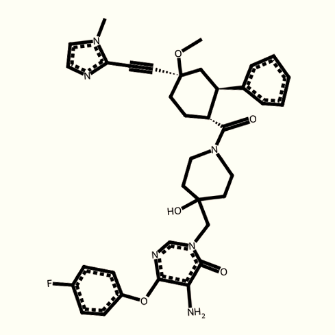 CO[C@]1(C#Cc2nccn2C)CC[C@@H](C(=O)N2CCC(O)(Cn3cnc(Oc4ccc(F)cc4)c(N)c3=O)CC2)[C@H](c2ccccc2)C1